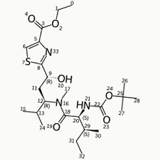 CCOC(=O)c1csc([C@H](O)C[C@H](C(C)C)N(C)C(=O)[C@@H](NC(=O)OC(C)(C)C)[C@@H](C)CC)n1